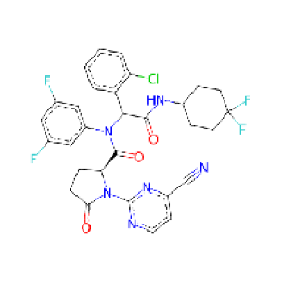 N#Cc1ccnc(N2C(=O)CC[C@H]2C(=O)N(c2cc(F)cc(F)c2)C(C(=O)NC2CCC(F)(F)CC2)c2ccccc2Cl)n1